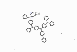 C#C/C=C(\C=C/C)N(c1ccccc1)c1ccc(N(C2=CCC(N(c3ccc(-c4ccccc4)cc3)c3ccc(N(c4ccccc4)c4ccccc4)cc3)C=C2)c2ccccc2)cc1